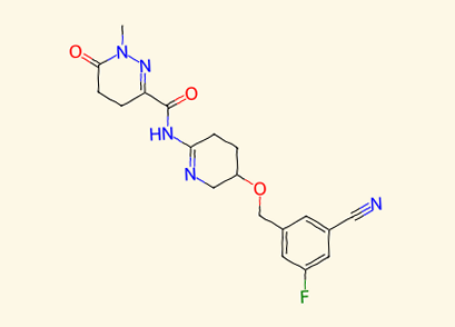 CN1N=C(C(=O)NC2=NCC(OCc3cc(F)cc(C#N)c3)CC2)CCC1=O